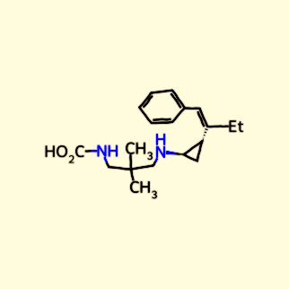 CCC(=Cc1ccccc1)[C@@H]1C[C@H]1NCC(C)(C)CNC(=O)O